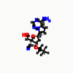 CC(C)(C)[Si](C)(C)O[C@H]1C[C@H](c2ccc3c(N)ncnn23)O[C@]1(C#N)CO